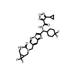 O=C(N[C@H](c1cn2ncc(CN3CC4C(CNC3=O)C4(F)F)cc2n1)C1CCC(F)(F)CC1)c1nonc1C1CC1